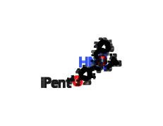 CCCC(C)COc1ccc(C(CNCC2CC2)NC(=O)Cc2ccccc2)cc1